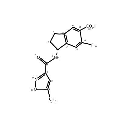 Cc1cc(C(=O)N[C@@H]2CCc3cc(C(=O)O)c(F)cc32)no1